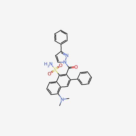 CN(C)c1cccc2c(S(N)(=O)=O)c(C(=O)n3ccc(-c4ccccc4)n3)c(-c3ccccc3)cc12